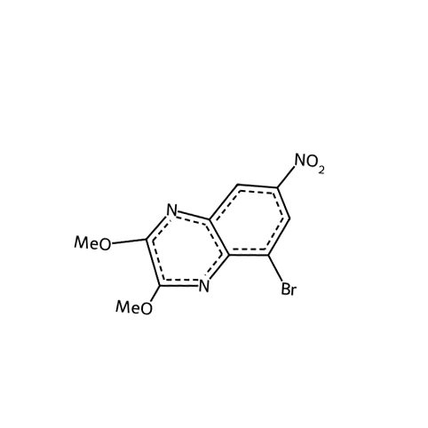 COc1nc2cc([N+](=O)[O-])cc(Br)c2nc1OC